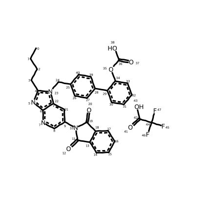 CCCCc1nc2ncc(N3C(=O)c4ccccc4C3=O)cc2n1Cc1ccc(-c2ccccc2OC(=O)O)cc1.O=C(O)C(F)(F)F